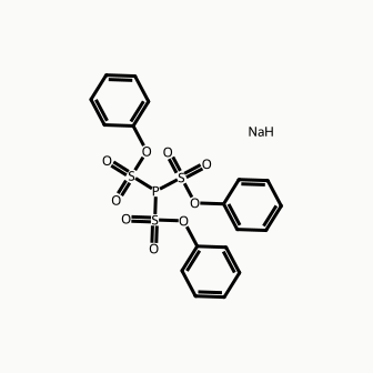 O=S(=O)(Oc1ccccc1)P(S(=O)(=O)Oc1ccccc1)S(=O)(=O)Oc1ccccc1.[NaH]